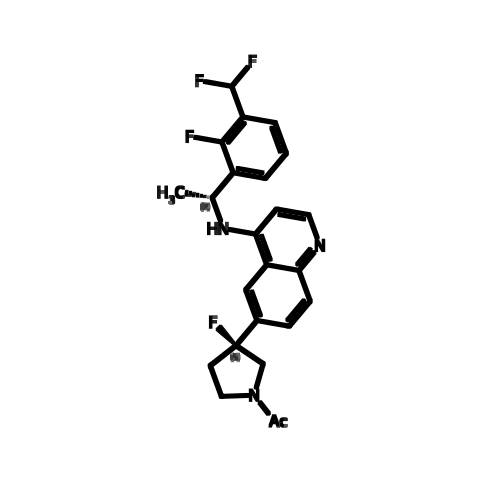 CC(=O)N1CC[C@](F)(c2ccc3nccc(N[C@H](C)c4cccc(C(F)F)c4F)c3c2)C1